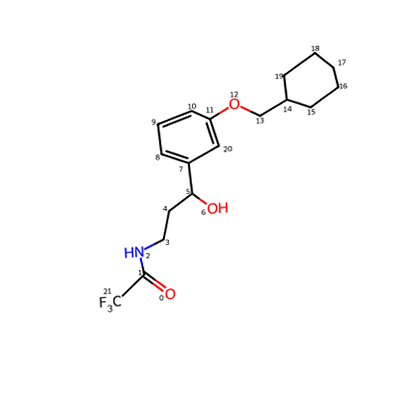 O=C(NCCC(O)c1cccc(OCC2CCCCC2)c1)C(F)(F)F